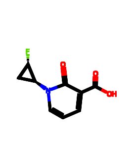 O=C(O)c1cccn([C@H]2C[C@@H]2F)c1=O